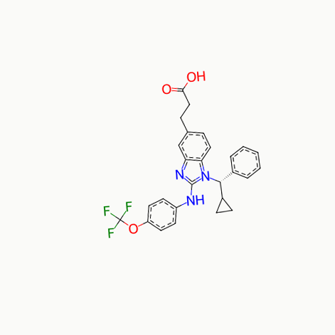 O=C(O)CCc1ccc2c(c1)nc(Nc1ccc(OC(F)(F)F)cc1)n2[C@H](c1ccccc1)C1CC1